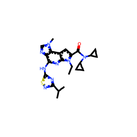 CCn1c(C(=O)N(C2CC2)C2CC2)cc2c3c(ncn3C)c(Nc3nc(C(C)C)ns3)nc21